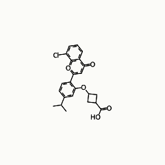 CC(C)c1ccc(-c2cc(=O)c3cccc(Cl)c3o2)c(OC2CC(C(=O)O)C2)c1